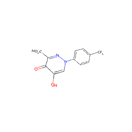 O=C(O)c1nn(-c2ccc(C(F)(F)F)cc2)cc(O)c1=O